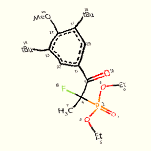 CCOP(=O)(OCC)C(C)(F)C(=O)c1cc(C(C)(C)C)c(OC)c(C(C)(C)C)c1